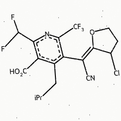 CC(C)Cc1c(C(=O)O)c(C(F)F)nc(C(F)(F)F)c1C(C#N)=C1OCCC1Cl